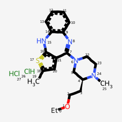 CCOCC[C@H]1CN(C2=Nc3ccccc3Nc3sc(C)cc32)CCN1C.Cl.Cl